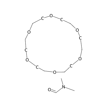 C1COCCOCCOCCOCCOCCO1.CN(C)C=O